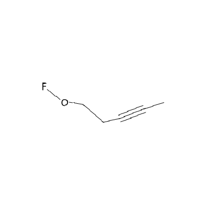 CC#CCCOF